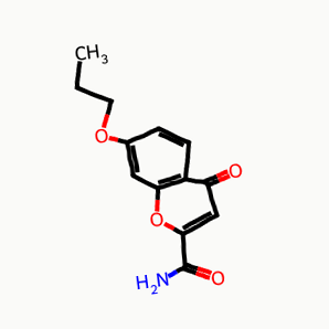 CCCOc1ccc2c(=O)cc(C(N)=O)oc2c1